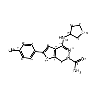 NC(=O)N1Cc2sc(-c3ccc(Cl)cc3)cc2C(NC2CCOC2)=N1